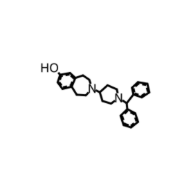 Oc1ccc2c(c1)CCN(C1CCN(C(c3ccccc3)c3ccccc3)CC1)CC2